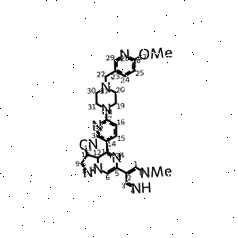 CN/C=C(\C=N)C1=CN2N=CC(C#N)C2C(c2ccc(N3CCN(Cc4ccc(OC)nc4)CC3)nc2)=N1